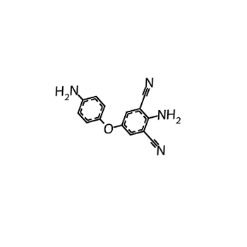 N#Cc1cc(Oc2ccc(N)cc2)cc(C#N)c1N